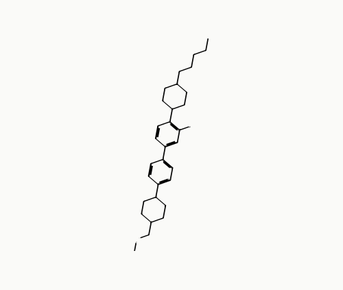 CCCCCC1CCC(c2ccc(-c3ccc(C4CCC(COC)CC4)cc3)cc2F)CC1